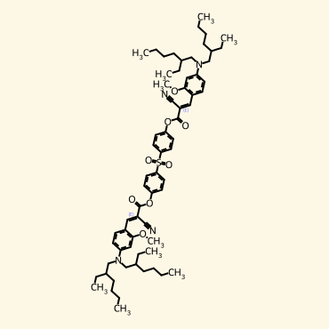 CCCCC(CC)CN(CC(CC)CCCC)c1ccc(/C=C(\C#N)C(=O)Oc2ccc(S(=O)(=O)c3ccc(OC(=O)/C(C#N)=C/c4ccc(N(CC(CC)CCCC)CC(CC)CCCC)cc4OC)cc3)cc2)c(OC)c1